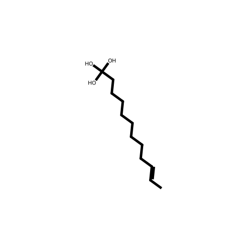 CC=CCCCCCCCCC(O)(O)O